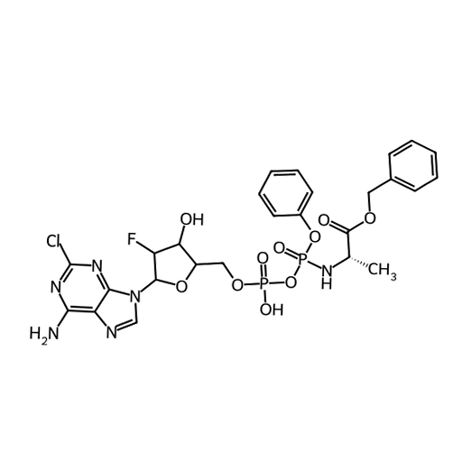 C[C@H](NP(=O)(Oc1ccccc1)OP(=O)(O)OCC1OC(n2cnc3c(N)nc(Cl)nc32)C(F)C1O)C(=O)OCc1ccccc1